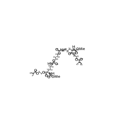 C=C(C)C(=O)OCCOC(=O)C(CCCCNC(=O)OCCCCOC(=O)NCCCCC(NC(=O)OC)C(=O)OCCOC(=O)C(=C)C)NC(=O)OC